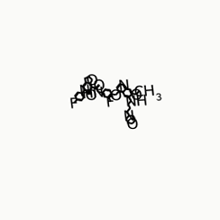 COc1cc2nccc(Oc3ccc(NC(=O)c4c5c(cn(-c6ccc(F)cc6)c4=O)CCO5)cc3F)c2cc1NCCCN1CCOCC1